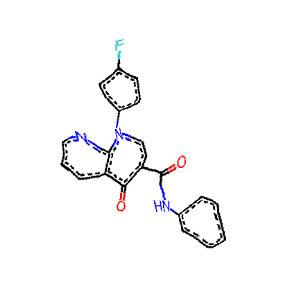 O=C(Nc1ccccc1)c1cn(-c2ccc(F)cc2)c2ncccc2c1=O